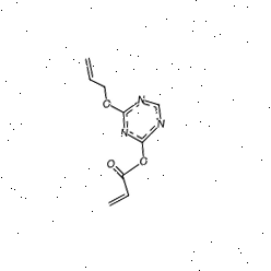 C=CCOc1ncnc(OC(=O)C=C)n1